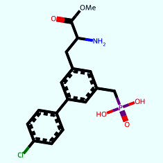 COC(=O)C(N)Cc1cc(CP(=O)(O)O)cc(-c2ccc(Cl)cc2)c1